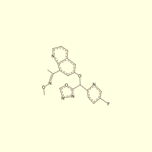 CO/N=C(\C)c1cc(OC(c2ccc(F)cn2)c2nnco2)cc2cccnc12